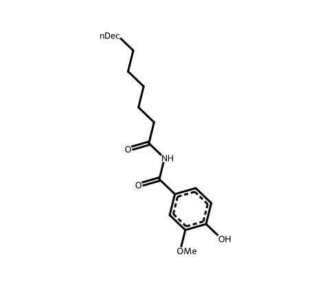 CCCCCCCCCCCCCCCC(=O)NC(=O)c1ccc(O)c(OC)c1